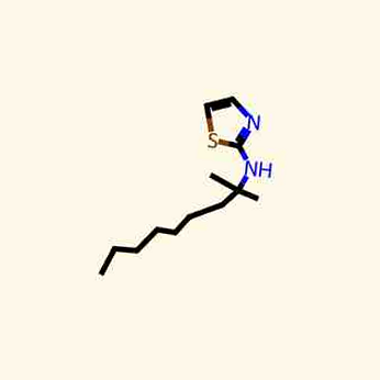 CCCCCCCC(C)(C)Nc1nccs1